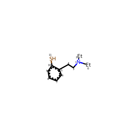 CCN(CC)CCc1ccccc1S